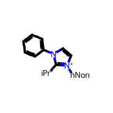 CCCCCCCCC[n+]1ccn(-c2ccccc2)c1C(C)C